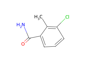 Cc1c(Cl)cccc1C(N)=O